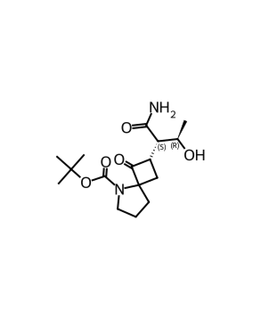 C[C@@H](O)[C@@H](C(N)=O)C1CC2(CCCN2C(=O)OC(C)(C)C)C1=O